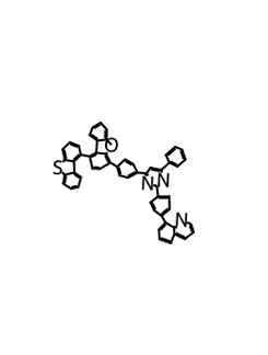 c1ccc(-c2cc(-c3ccc(-c4ccc(-c5cccc6sc7ccccc7c56)c5c4oc4ccccc45)cc3)nc(-c3ccc(-c4cccc5cccnc45)cc3)n2)cc1